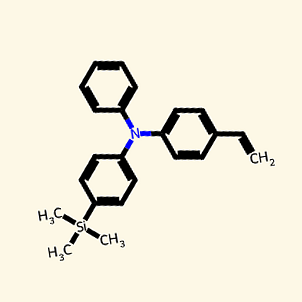 C=Cc1ccc(N(c2ccccc2)c2ccc([Si](C)(C)C)cc2)cc1